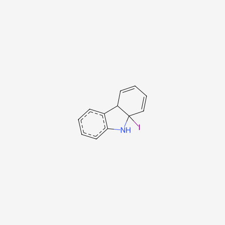 IC12C=CC=CC1c1ccccc1N2